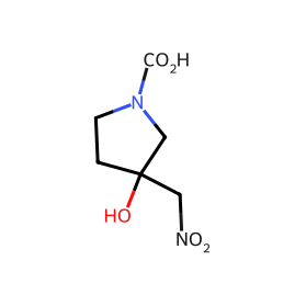 O=C(O)N1CCC(O)(C[N+](=O)[O-])C1